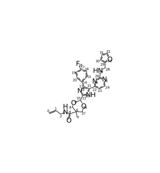 C=CCNC(=O)C1(C)COC(c2nc(-c3ccc(F)cc3)c(-c3ccnc(NCc4ccco4)n3)[nH]2)OC1